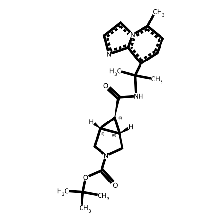 Cc1ccc(C(C)(C)NC(=O)[C@H]2[C@@H]3CN(C(=O)OC(C)(C)C)C[C@@H]32)c2nccn12